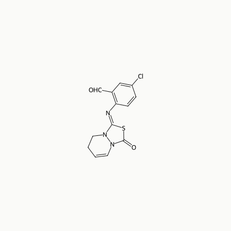 O=Cc1cc(Cl)ccc1N=c1sc(=O)n2n1CCC=C2